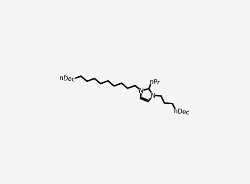 CCCCCCCCCCCCCCCCCCCN1C=CN(CCCCCCCCCCCCC)C1CCC